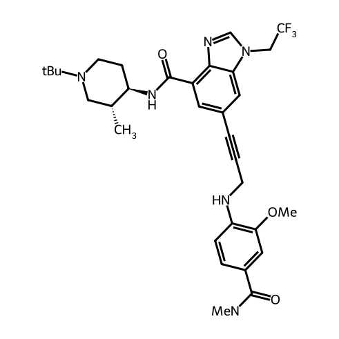 CNC(=O)c1ccc(NCC#Cc2cc(C(=O)N[C@@H]3CCN(C(C)(C)C)C[C@H]3C)c3ncn(CC(F)(F)F)c3c2)c(OC)c1